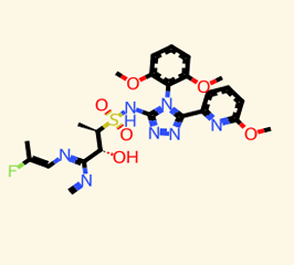 C=N/C(=N\C=C(/C)F)[C@@H](O)[C@@H](C)S(=O)(=O)Nc1nnc(-c2cccc(OC)n2)n1-c1c(OC)cccc1OC